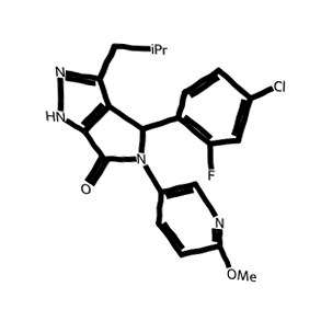 COc1ccc(N2C(=O)c3[nH]nc(CC(C)C)c3C2c2ccc(Cl)cc2F)cn1